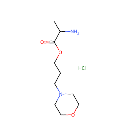 CC(N)C(=O)OCCCN1CCOCC1.Cl